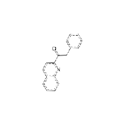 O=C(Cc1ccccc1)c1ccc2ccccc2n1